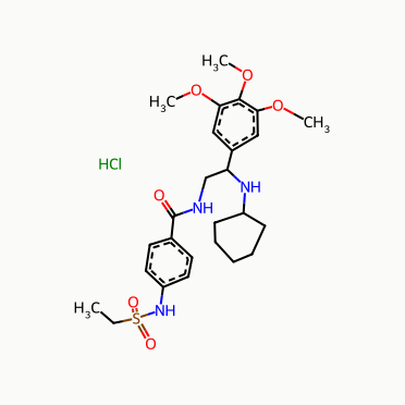 CCS(=O)(=O)Nc1ccc(C(=O)NCC(NC2CCCCC2)c2cc(OC)c(OC)c(OC)c2)cc1.Cl